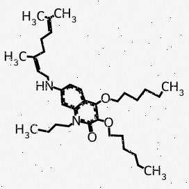 CCCCCCOc1c(OCCCCCC)c2ccc(NCC=C(C)CCC=C(C)C)cc2n(CCCC)c1=O